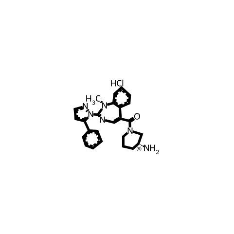 CN1C(n2nccc2-c2ccccc2)=NC=C(C(=O)N2CCC[C@@H](N)C2)c2ccccc21.Cl